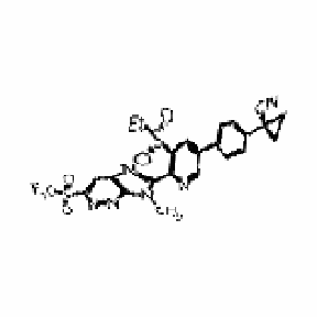 CCS(=O)(=O)c1cc(-c2ccc(C3(C#N)CC3)cc2)cnc1-c1nc2cc(S(=O)(=O)C(F)(F)F)nnc2n1C